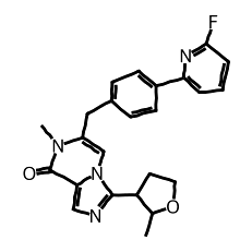 CC1OCCC1c1ncc2c(=O)n(C)c(Cc3ccc(-c4cccc(F)n4)cc3)cn12